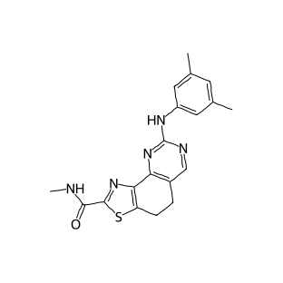 CNC(=O)c1nc2c(s1)CCc1cnc(Nc3cc(C)cc(C)c3)nc1-2